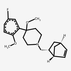 COc1ccc(F)cc1C1(OC)CCN(C[C@@H]2C[C@H]3C=C[C@H]2C3)CC1